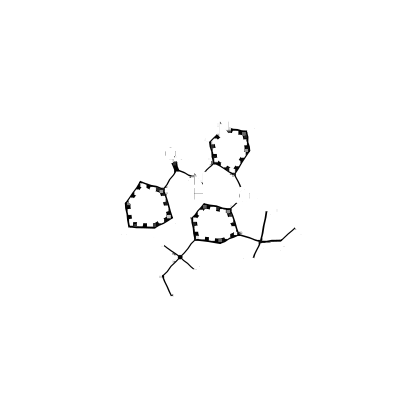 CCC(C)(C)c1ccc(Oc2ccncc2NC(=O)c2ccccc2)c(C(C)(C)CC)c1